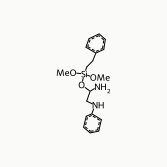 CO[Si](CCc1ccccc1)(OC)OC(N)CNc1ccccc1